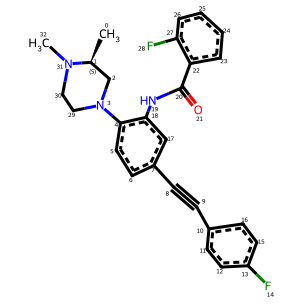 C[C@H]1CN(c2ccc(C#Cc3ccc(F)cc3)cc2NC(=O)c2ccccc2F)CCN1C